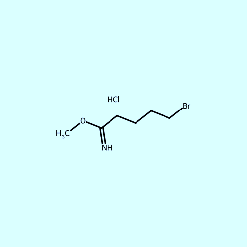 COC(=N)CCCCBr.Cl